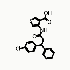 O=C(CC(c1ccccc1)c1ccc(Cl)cc1)Nc1cscc1C(=O)O